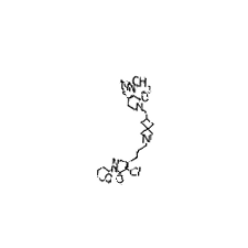 Cn1ncc2ccn(CC3CC4(C3)CN(CCCc3cnn(C5CCCCO5)c(=O)c3Cl)C4)c(=O)c21